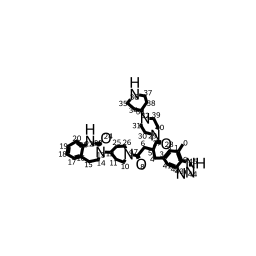 Cc1cc(CC(CC(=O)N2CCC(N3CCc4ccccc4NC3=O)CC2)C(=O)N2CCN(C3CCNCC3)CC2)cc2nn[nH]c12